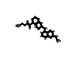 CCCNC(=O)c1cccc2cc(Oc3ccnc4cc(OC)ccc34)ccc12